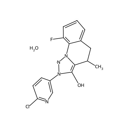 CC1Cc2cccc(F)c2N2[N]N(c3ccc(Cl)nc3)C(O)=C12.O